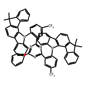 CC1(C)c2ccccc2-c2c1ccc1c3ccccc3n(-c3ccc(C(F)(F)F)cc3-c3nc(-c4ccccc4)nc(-c4cc(C(F)(F)F)ccc4-n4c5ccccc5c5ccc6c(c54)-c4ccccc4C6(C)C)n3)c21